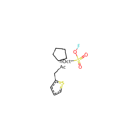 C1CCCC1.CC(=O)Cc1cccs1.CCCCCCCCS(=O)(=O)OF